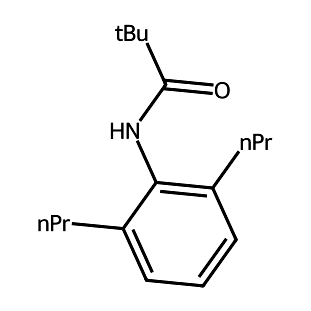 CCCc1cccc(CCC)c1NC(=O)C(C)(C)C